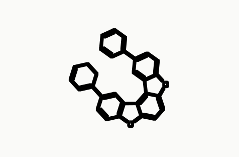 C1=CCCC(c2ccc3oc4ccc5oc6ccc(-c7ccccc7)cc6c5c4c3c2)=C1